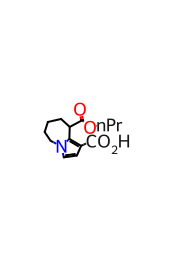 CCCOC(=O)C1CCCCn2ccc(C(=O)O)c21